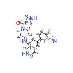 N#Cc1cc(-c2cc3c(c(NC4CCN(C(=O)C5CNC5)CC4)c2)CNC=C3)ccc1F